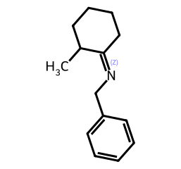 CC1CCCC/C1=N/Cc1ccccc1